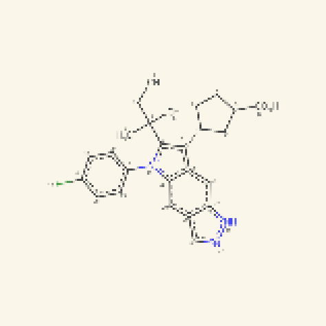 CC(C)(CC#N)c1c([C@@H]2CCC(C(=O)O)C2)c2cc3[nH]ncc3cc2n1-c1ccc(F)cc1